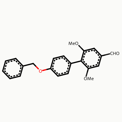 COc1cc(C=O)cc(OC)c1-c1ccc(OCc2ccccc2)cc1